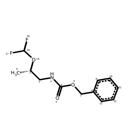 C[C@@H](CNC(=O)OCc1ccccc1)OC(F)F